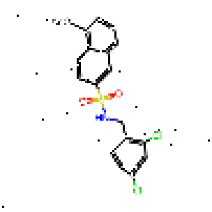 CC(=O)Oc1cccc2cc(S(=O)(=O)NCc3ccc(Cl)cc3Cl)ccc12